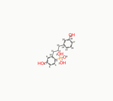 O=P(O)(O)c1ccc(O)cc1CCCc1cccc(O)c1